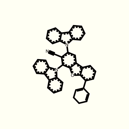 N#Cc1c(-n2c3ccccc3c3ccccc32)cc2c(oc3c(C4=CCCC=C4)cccc32)c1-n1c2ccccc2c2ccccc21